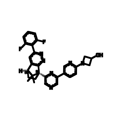 CC1(C)[C@H]2CC[C@]1(c1cncc(-c3ccc(N4CC(O)C4)nc3)n1)c1nnc(-c3c(F)cccc3F)cc12